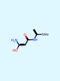 C=C(NC(=O)/C=C(\N)O)SC